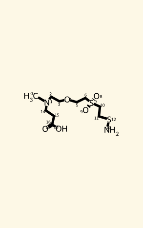 CN(CCOCCS(=O)(=O)CCSN)CCC(=O)O